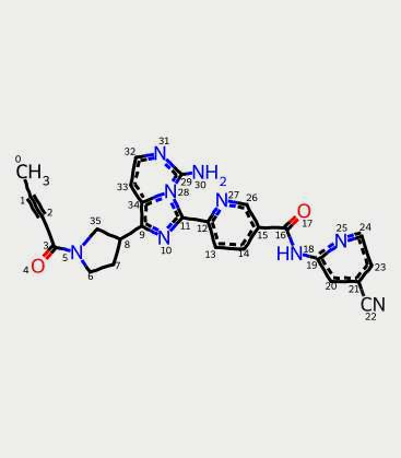 CC#CC(=O)N1CCC(c2nc(-c3ccc(C(=O)Nc4cc(C#N)ccn4)cn3)n3c(N)nccc23)C1